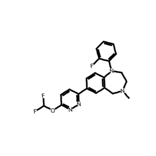 CN1CCN(c2ccccc2F)c2ccc(-c3ccc(OC(F)F)nn3)cc2C1